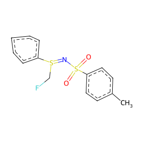 Cc1ccc(S(=O)(=O)N=S(CF)c2ccccc2)cc1